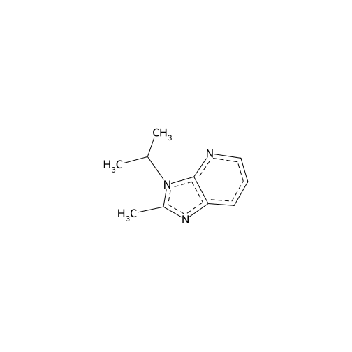 Cc1nc2cccnc2n1C(C)C